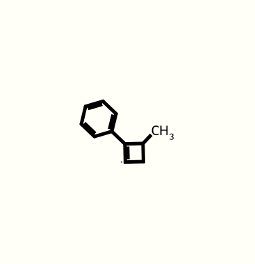 CC1C[C]=C1c1ccccc1